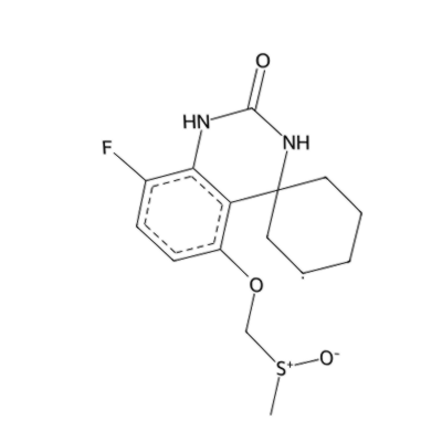 C[S+]([O-])COc1ccc(F)c2c1C1(C[CH]CCC1)NC(=O)N2